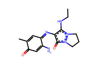 CCNc1c(/N=C2/C=C(C)C(=O)C=C2N)c(=O)n2n1CCC2